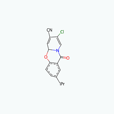 CC(C)c1ccc2c(c1)C(=O)N1C=C(Cl)C(C#N)=CC1O2